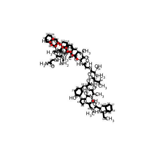 CCCCC[C@H](NC(=O)CNC(=O)[C@H](CO)NC(=O)[C@@H](NC(=O)[C@H](Cc1ccc(O)cc1)NC(=O)[C@H](C)N(C)C(=O)[C@@H]1CCCN1C(=O)CN(C)C(=O)[C@H](Cc1ccccc1)NC(=O)CC)C(C)C)C(=O)N(C)[C@@H](Cc1ccccc1)C(=O)N(C)CC(=O)N[C@@H](Cc1ccc(O)cc1)C(=O)N(C)[C@@H](Cc1ccccc1)C(=O)N1CCC[C@H]1C(=O)N[C@@H](CN)C(=O)NCC(N)=O